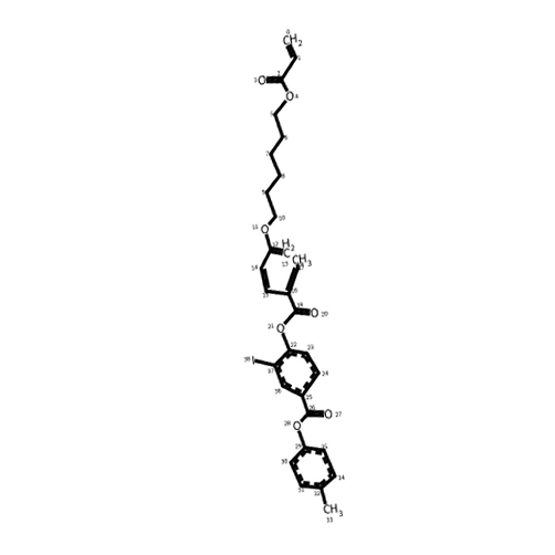 C=CC(=O)OCCCCCCOC(=C)/C=C\C(=C/C)C(=O)Oc1ccc(C(=O)Oc2ccc(C)cc2)cc1I